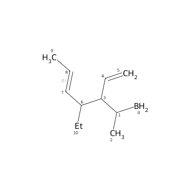 BC(C)C(C=C)C(/C=C/C)CC